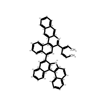 C/C=C\C(=C/C)c1nc2cc3ccccc3cc2c2c1cc(-c1cc3ccccc3c3c1oc1ccc4ccccc4c13)c1ccccc12